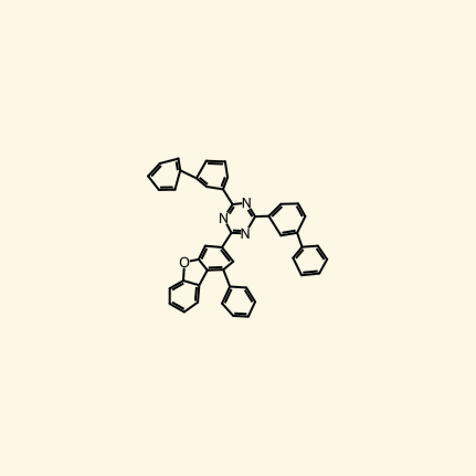 c1ccc(-c2cccc(-c3nc(-c4cccc(-c5ccccc5)c4)nc(-c4cc(-c5ccccc5)c5c(c4)oc4ccccc45)n3)c2)cc1